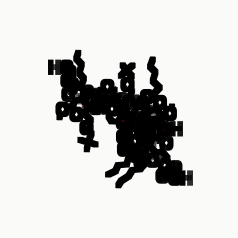 CCCCCC(=O)OC1[C@H](O[C@H]2[C@H](OC)C(OC(=O)CCCCC)[C@H](O[C@@H]3C(COCC(C)(C)C)O[C@@H](O[C@H]4[C@H](OC)C5OCC4(C(=O)O)O[C@H]5O[C@@H]4C(COCC(C)(C)C)O[C@H](OC)C(OSOOO)[C@H]4OC(=O)CCCCC)C(OSOOO)[C@H]3OSOOO)OC2(CC)C(=O)O)OC(COS(=O)(=O)O)[C@@H](OC(=O)CCCCC)[C@@H]1OC(=O)CCCCC